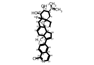 CN(C)[C@H]1C[C@@]23CC[C@@]4(O2)C(=CC[C@]2(C)C(c5ccc6c(Cl)nccc6c5)=CCC24)CC3(F)[C@@H](O)[C@@H]1O